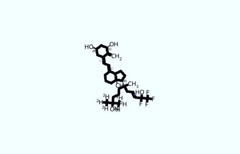 [2H]C([2H])([2H])C(O)(CCCC(C)(C/C=C/C(O)(F)C(F)(F)F)[C@H]1CCC2/C(=C/C=C3/C[C@@H](O)C[C@H](O)C3=C)CCC[C@@]21C)C([2H])([2H])[2H]